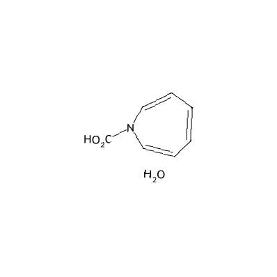 O.O=C(O)N1C=CC=CC=C1